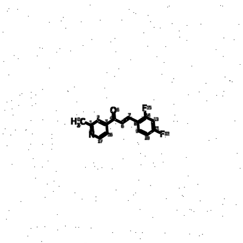 Cc1cc(C(=O)C=Cc2ccc(F)cc2F)ccn1